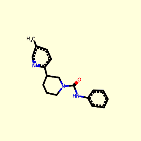 Cc1ccc(C2CCCN(C(=O)Nc3ccccc3)C2)nc1